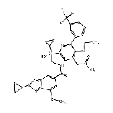 CCOc1c(CC(N)=O)cc([C@@](O)(CNC(=O)c2cc(OC)c3nn(C4CC4)cc3c2)C2CC2)nc1-c1cccc(C(F)(F)F)c1